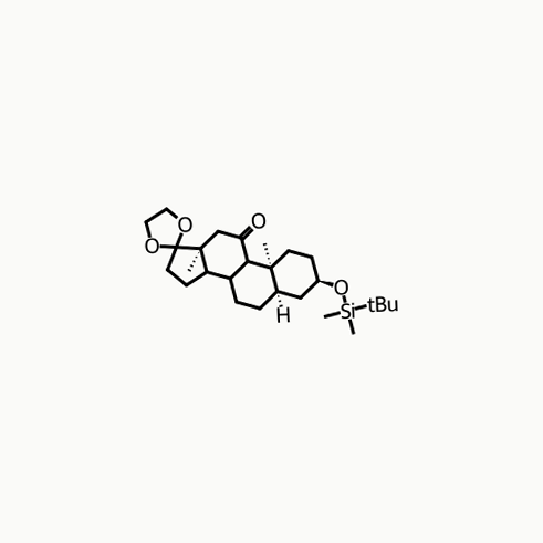 CC(C)(C)[Si](C)(C)O[C@@H]1CC[C@]2(C)C3C(=O)C[C@@]4(C)C(CCC45OCCO5)C3CC[C@@H]2C1